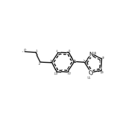 [CH2]CCc1ccc(-c2ncco2)cc1